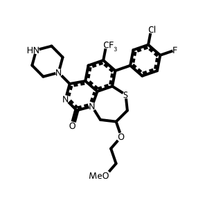 COCCOC1CSc2c(-c3ccc(F)c(Cl)c3)c(C(F)(F)F)cc3c(N4CCNCC4)nc(=O)n(c23)C1